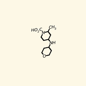 CC1CC(NC2CCOCC2)CCN1C(=O)O